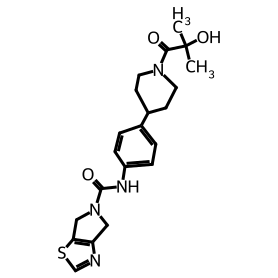 CC(C)(O)C(=O)N1CCC(c2ccc(NC(=O)N3Cc4ncsc4C3)cc2)CC1